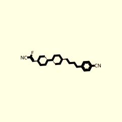 N#CC(F)=C[C@H]1CC[C@H]([C@H]2CC[C@H](CCCCc3ccc(C#N)cc3)CC2)CC1